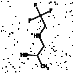 CC(O)CNCC(F)(F)F